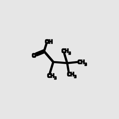 CC(C(=O)O)C(C)(C)C